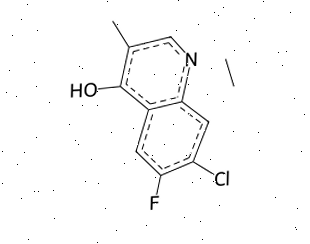 CC.Cc1cnc2cc(Cl)c(F)cc2c1O